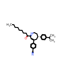 CCCCCCCCC(=O)C1=N/CC[C@H](c2ccc(C(C)C)cc2)C/C(c2ccc(C#N)cc2)=C\1